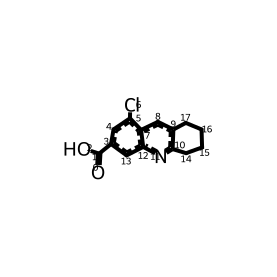 O=C(O)c1cc(Cl)c2cc3c(nc2c1)CCCC3